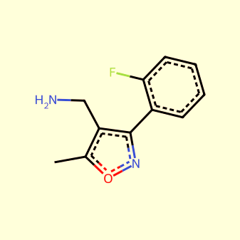 Cc1onc(-c2ccccc2F)c1CN